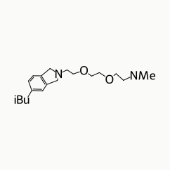 CCC(C)c1ccc2c(c1)CN(CCOCCOCCNC)C2